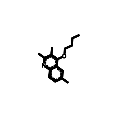 CCCCOc1c(C)c(C)nc2ccc(C)cc12